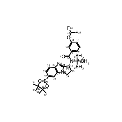 BC(B)(B)N(C(=O)c1cccc(OC(F)F)c1)[C@@H]1CCn2c1nc1ccc(B3OC(C)(C)C(C)(C)O3)cc12